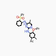 CC(=O)c1cc(Nc2ncc(C)c(Nc3ccccc3S(=O)(=O)C(C)C)n2)c(OC(C)C)cc1C